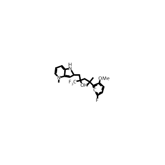 COc1ccc(F)cc1C(C)(C)CC(O)(CC1C=C2C(=CC=CN2C)N1)C(F)(F)F